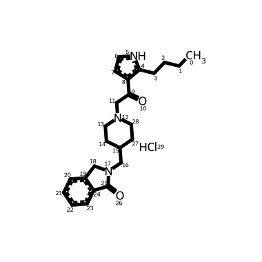 CCCCc1[nH]ccc1C(=O)CN1CCC(CN2Cc3ccccc3C2=O)CC1.Cl